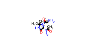 CC(N)=O.CC1(C)NC(=O)CN1C(=O)CN